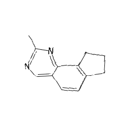 Cc1ncc2ccc3c(c2n1)CCC3